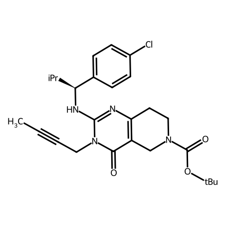 CC#CCn1c(N[C@H](c2ccc(Cl)cc2)C(C)C)nc2c(c1=O)CN(C(=O)OC(C)(C)C)CC2